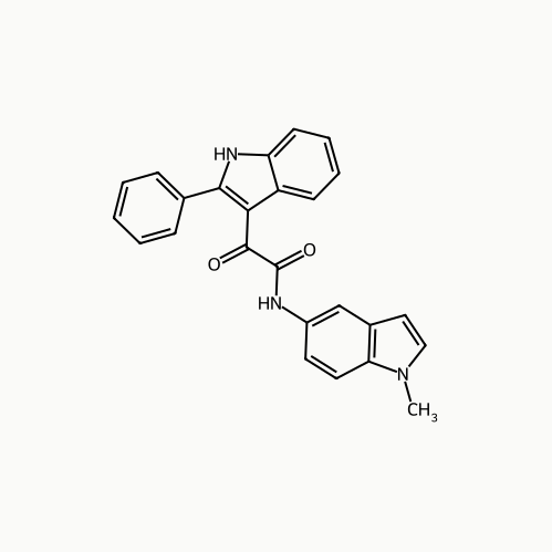 Cn1ccc2cc(NC(=O)C(=O)c3c(-c4ccccc4)[nH]c4ccccc34)ccc21